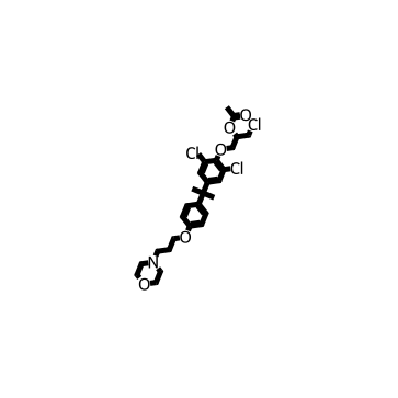 CC(=O)OC(CCl)COc1c(Cl)cc(C(C)(C)c2ccc(OCCCN3CCOCC3)cc2)cc1Cl